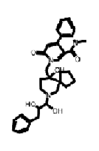 CN(C)C(=O)c1cn(CC2(O)CCN(C(O)C(O)Cc3ccccc3)CC23CCCC3)c(=O)cc1-c1ccccc1